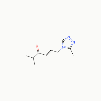 Cc1nncn1C/C=C/C(=O)C(C)C